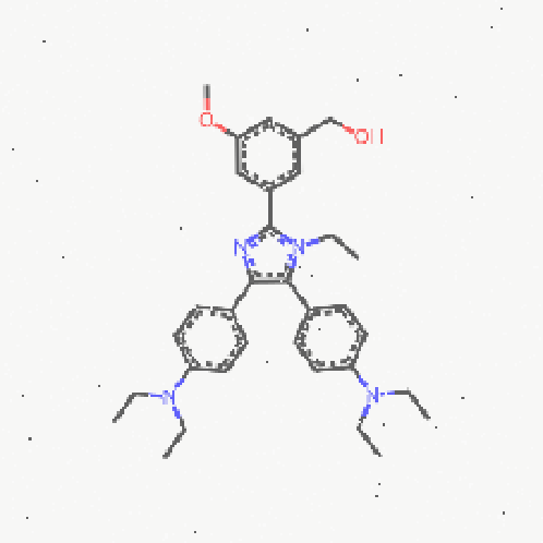 CCN(CC)c1ccc(-c2nc(-c3cc(CO)cc(OC)c3)n(CC)c2-c2ccc(N(CC)CC)cc2)cc1